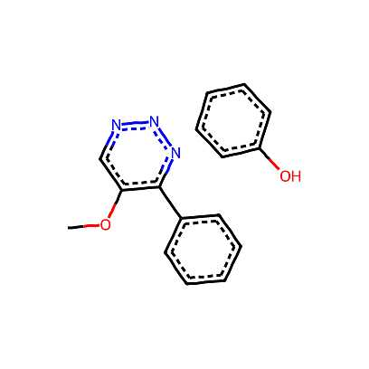 COc1cnnnc1-c1ccccc1.Oc1ccccc1